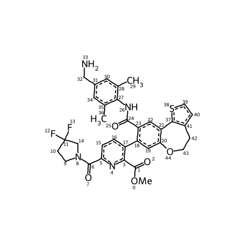 COC(=O)c1nc(C(=O)N2CCC(F)(F)C2)ccc1-c1cc2c(cc1C(=O)Nc1c(C)cc(CN)cc1C)-c1sccc1CCO2